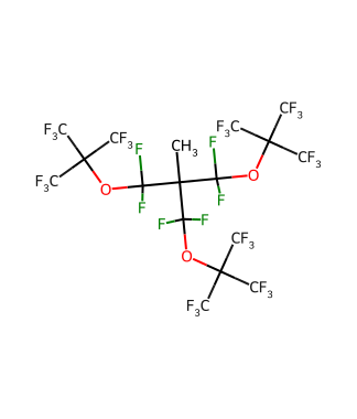 CC(C(F)(F)OC(C(F)(F)F)(C(F)(F)F)C(F)(F)F)(C(F)(F)OC(C(F)(F)F)(C(F)(F)F)C(F)(F)F)C(F)(F)OC(C(F)(F)F)(C(F)(F)F)C(F)(F)F